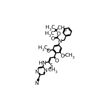 COc1cc(N(Cc2ccccc2)C(=O)OC(C)(C)C)cc(OC)c1C(=O)/C=C(/Nc1cnc(C#N)cn1)SC